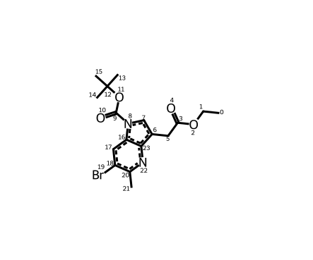 CCOC(=O)Cc1cn(C(=O)OC(C)(C)C)c2cc(Br)c(C)nc12